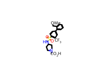 COCc1ccccc1-c1ccc(S(=O)(=O)NC2CCN(C(=O)O)CC2)c(C(F)(F)F)c1